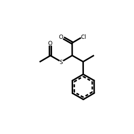 CC(=O)SC(C(=O)Cl)C(C)c1ccccc1